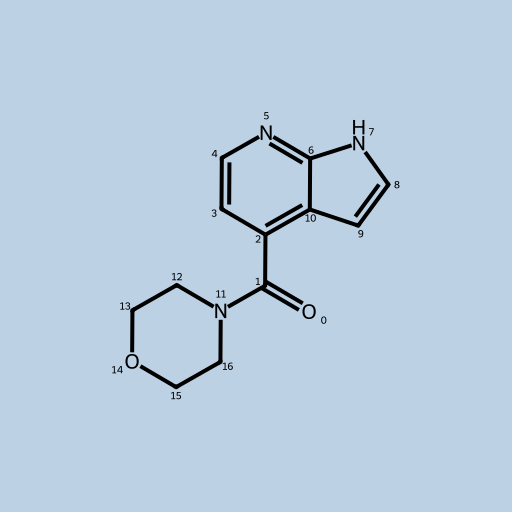 O=C(c1ccnc2[nH]ccc12)N1CCOCC1